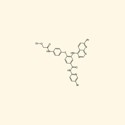 CCOCC(=O)Nc1ccc(Sc2ccc(C(=O)Nc3ccc(Br)cn3)cc2Nc2ncnc3nc(C(C)C)ccc23)cc1